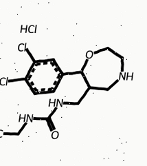 CCNC(=O)NCC1CNCCOC1c1ccc(Cl)c(Cl)c1.Cl